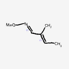 C/C=C(C)/C=N/OC